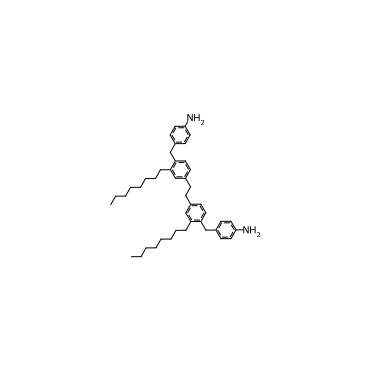 CCCCCCCCc1cc(CCc2ccc(Cc3ccc(N)cc3)c(CCCCCCCC)c2)ccc1Cc1ccc(N)cc1